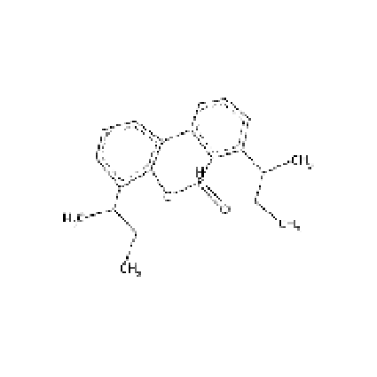 CCC(C)c1cccc2c1O[PH](=O)c1c-2cccc1C(C)CC